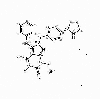 CC(C)Cn1c(=O)n(C)c(=O)c2c(Nc3ccccc3)n(Cc3ccc(C4CCCN4)cc3)nc21